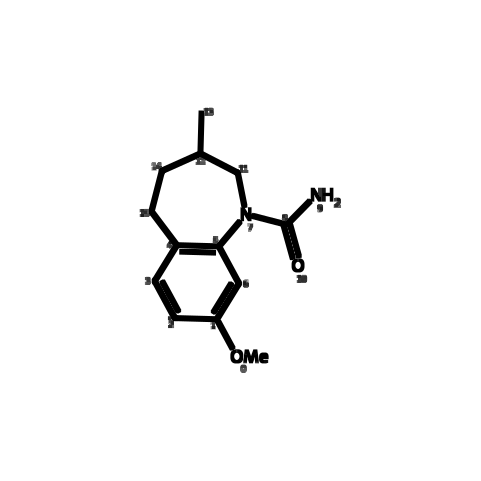 COc1[c]cc2c(c1)N(C(N)=O)CC(C)CC2